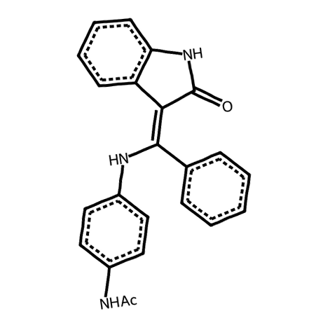 CC(=O)Nc1ccc(NC(=C2C(=O)Nc3ccccc32)c2ccccc2)cc1